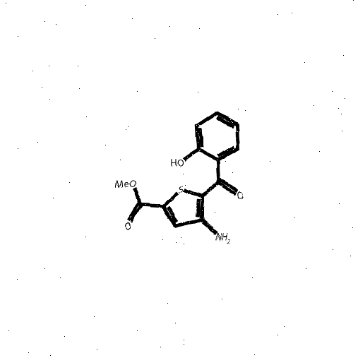 COC(=O)c1cc(N)c(C(=O)c2ccccc2O)s1